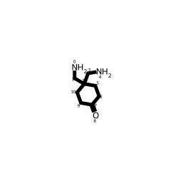 NCC1(CN)CCC(=O)CC1